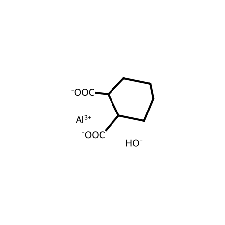 O=C([O-])C1CCCCC1C(=O)[O-].[Al+3].[OH-]